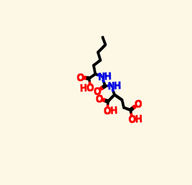 CCCCCC(NC(=O)NC(CCC(=O)O)C(=O)O)C(=O)O